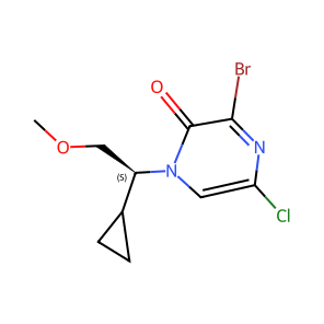 COC[C@H](C1CC1)n1cc(Cl)nc(Br)c1=O